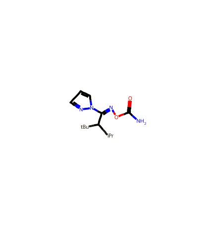 CC(C)C(C(=NOC(N)=O)n1cccn1)C(C)(C)C